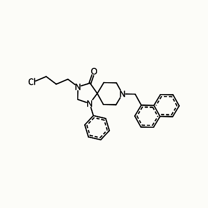 O=C1N(CCCCl)CN(c2ccccc2)C12CCN(Cc1cccc3ccccc13)CC2